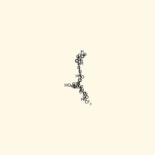 O=C1CCC(N2C(=O)c3cccc(NCCOCCOCCNC(=O)c4ccc(-n5cc(NC(=O)c6coc(-c7ccnc(OC(=O)NCC(F)(F)F)c7)n6)c(N6CCN(CCO)C6=O)n5)cc4)c3C2=O)C(=O)N1